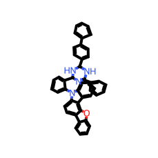 c1ccc(C2=NC(c3ccccc3-n3c4ccccc4c4c5oc6ccccc6c5ccc43)NC(c3ccc(-c4ccccc4)cc3)N2)cc1